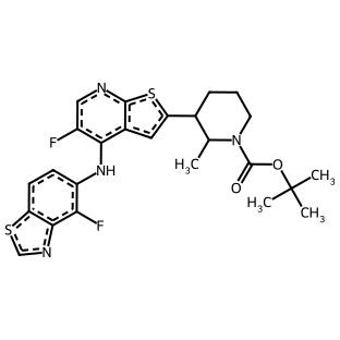 CC1C(c2cc3c(Nc4ccc5scnc5c4F)c(F)cnc3s2)CCCN1C(=O)OC(C)(C)C